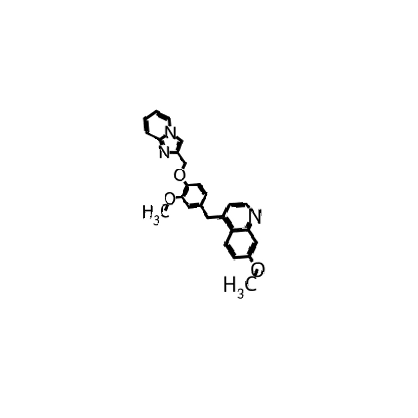 COc1ccc2c(Cc3ccc(OCc4cn5ccccc5n4)c(OC)c3)ccnc2c1